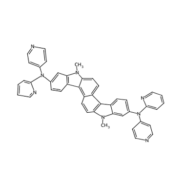 Cn1c2cc(N(c3ccncc3)c3ccccn3)ccc2c2c3ccc4c(c3ccc21)c1ccc(N(c2ccncc2)c2ccccn2)cc1n4C